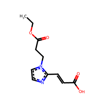 CCOC(=O)CCn1ccnc1C=CC(=O)O